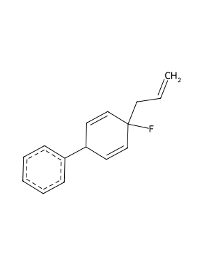 C=CCC1(F)C=CC(c2ccccc2)C=C1